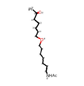 CC(=O)NCCCCCCCOCCCCCC(=O)C(C)C